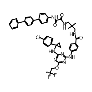 CC(C)(CNC(=O)C(=O)Nc1ccc(-c2ccc(-c3ccccc3)cc2)cc1)CNC(=O)c1ccc(Nc2nc(NC3(c4ccc(Cl)cc4)CC3)nc(OCC(F)(F)F)n2)cc1